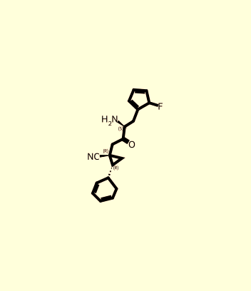 N#C[C@@]1(CC(=O)[C@@H](N)CC2=CC=CC2F)C[C@@H]1C1C=CC=CC1